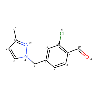 Cc1ccn(Cc2ccc(C=O)c(Cl)c2)n1